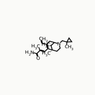 C=CC1=C(/C=C(\C)C(N)=O)[C@]2(C)CCN(CC3(C)CC3)C(C1)C2C